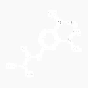 CC(O)C(=O)Oc1ccc(N(C)C)c(N(C)C)c1